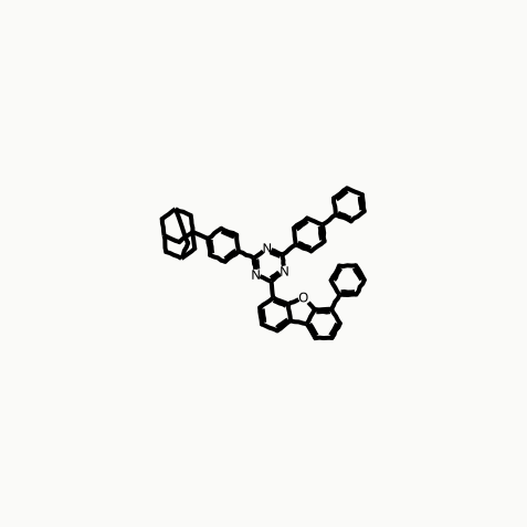 c1ccc(-c2ccc(-c3nc(-c4ccc(C56CC7CC(CC(C7)C5)C6)cc4)nc(-c4cccc5c4oc4c(-c6ccccc6)cccc45)n3)cc2)cc1